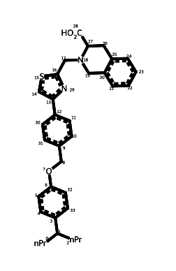 CCCC(CCC)c1ccc(OCc2ccc(-c3csc(CN4Cc5ccccc5CC4C(=O)O)n3)cc2)cc1